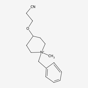 C[N+]1(Cc2ccccc2)CCC(OCCC#N)CC1